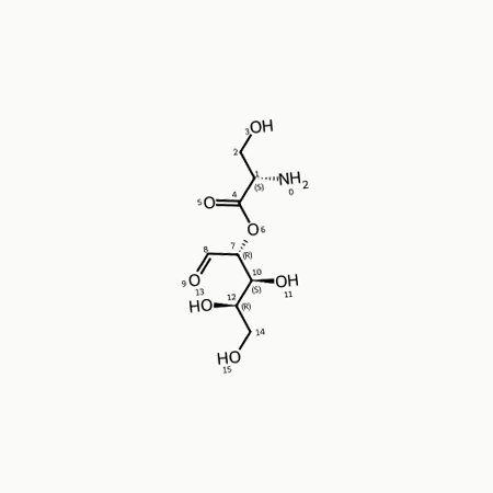 N[C@@H](CO)C(=O)O[C@@H](C=O)[C@@H](O)[C@H](O)CO